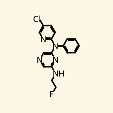 FCCNc1cncc(N(c2ccccc2)c2ccc(Cl)cn2)n1